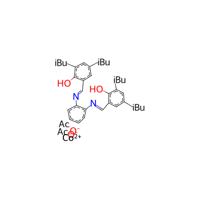 CC(=O)[O-].CC(=O)[O-].CCC(C)c1cc(C=Nc2ccccc2N=Cc2cc(C(C)CC)cc(C(C)CC)c2O)c(O)c(C(C)CC)c1.[Co+2]